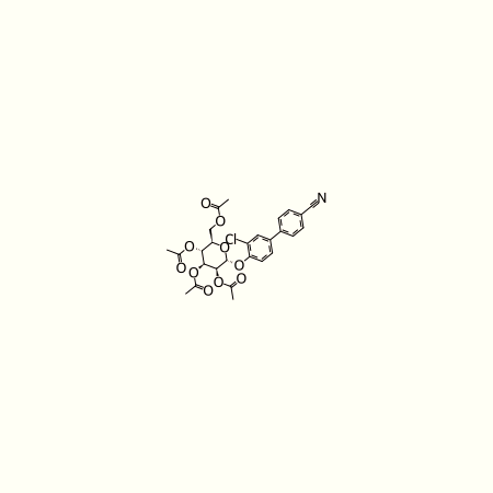 CC(=O)OC[C@H]1O[C@H](Oc2ccc(-c3ccc(C#N)cc3)cc2Cl)[C@@H](OC(C)=O)[C@@H](OC(C)=O)[C@@H]1OC(C)=O